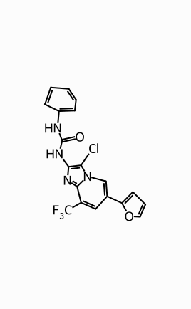 O=C(Nc1ccccc1)Nc1nc2c(C(F)(F)F)cc(-c3ccco3)cn2c1Cl